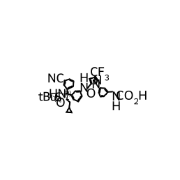 CC(C)(C)[S@@+]([O-])N[C@](CCC1CC1)(c1cccc(C#N)c1)c1cccc(NC(=O)c2cc(C(F)(F)F)nn2-c2cccc(CNC(=O)O)c2)c1